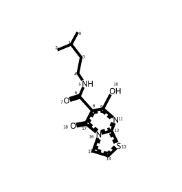 CC(C)CCNC(=O)c1c(O)nc2sccn2c1=O